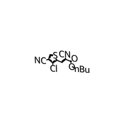 CCCCOC(=O)/C(C#N)=C/c1scc(C#N)c1Cl